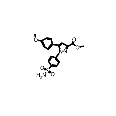 COC(=O)c1cc(-c2ccc(OC)cc2)n(-c2ccc(S(N)(=O)=O)cc2)n1